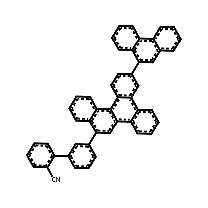 N#Cc1ccccc1-c1cccc(-c2cc3c4ccccc4c4cc(-c5cc6ccccc6c6ccccc56)ccc4c3c3ccccc23)c1